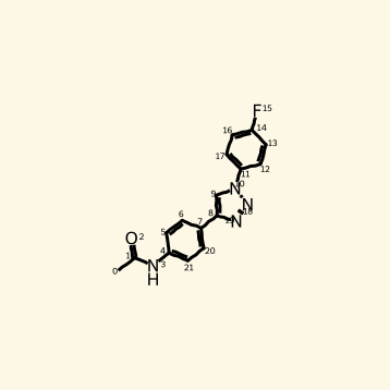 CC(=O)Nc1ccc(-c2cn(-c3ccc(F)cc3)nn2)cc1